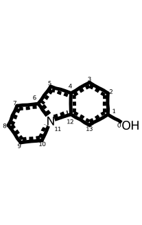 Oc1ccc2[c]c3ccccn3c2c1